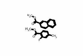 COC(=O)c1ccc(C)cc1F.COC(=O)c1ccc2ccccc2c1